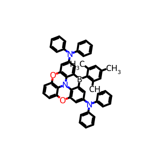 Cc1cc(C)c(B2c3cc(N(c4ccccc4)c4ccccc4)cc4c3N3c5c(cccc5Oc5cc(N(c6ccccc6)c6ccccc6)cc2c53)O4)c(C)c1